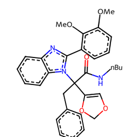 CCCCNC(=O)C(Cc1ccccc1)(C1=COCO1)n1c(-c2cccc(OC)c2OC)nc2ccccc21